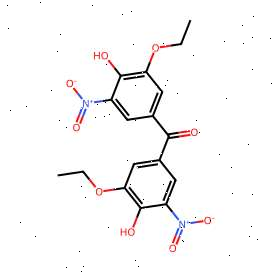 CCOc1cc(C(=O)c2cc(OCC)c(O)c([N+](=O)[O-])c2)cc([N+](=O)[O-])c1O